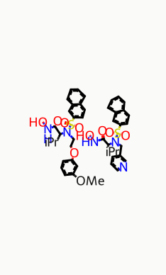 CC(C)C(C(=O)NO)N(Cc1cccnc1)S(=O)(=O)c1ccc2ccccc2c1.COc1cccc(OCCN(C(C(=O)NO)C(C)C)S(=O)(=O)c2ccc3ccccc3c2)c1